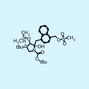 C[SiH](C)OC1[C@H](C(C)(C)C)CN(C(=O)OC(C)(C)C)[C@]1(O)Cc1ccc(COS(C)(=O)=O)c2ccccc12